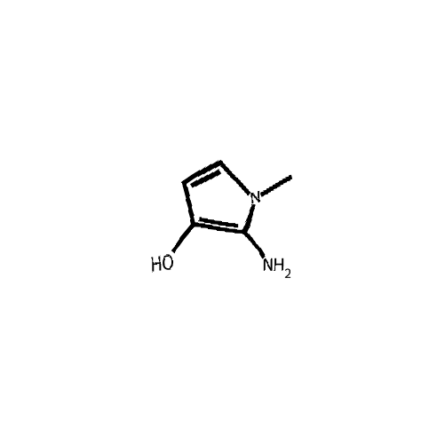 Cn1ccc(O)c1N